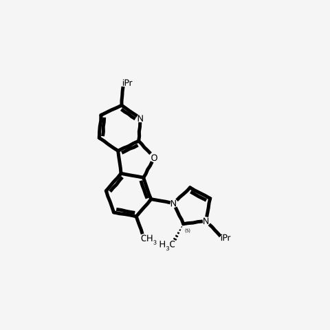 Cc1ccc2c(oc3nc(C(C)C)ccc32)c1N1C=CN(C(C)C)[C@@H]1C